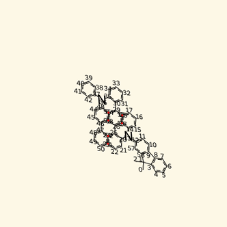 CC1(C)c2ccccc2-c2ccc(N(c3ccccc3)c3ccccc3-c3ccc(-c4ccccc4N(c4ccccc4)c4ccc(-c5ccccc5)cc4)cc3)cc21